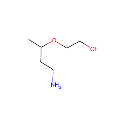 CC(CCN)OCCO